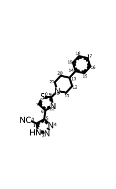 N#Cc1[nH]nnc1-c1csc(N2CCC(c3ccccc3)CC2)n1